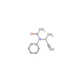 C#CC(C)N(C(C)=O)c1ccccc1